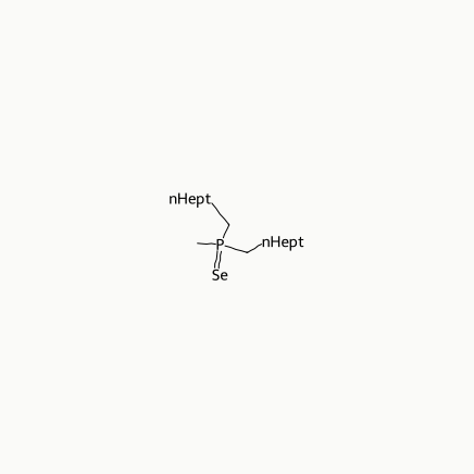 CCCCCCCCP(C)(=[Se])CCCCCCCC